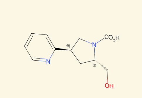 O=C(O)N1C[C@H](c2ccccn2)C[C@H]1CO